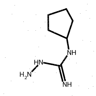 N=C(NN)NC1CCCC1